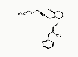 O=C(O)COCC#CCN1C(=O)CCC[C@@H]1C/C=C(\O)Cc1ccccc1